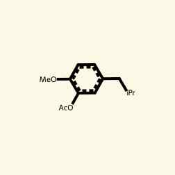 COc1ccc(CC(C)C)cc1OC(C)=O